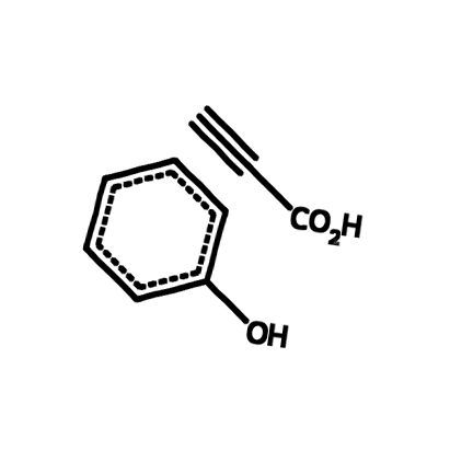 C#CC(=O)O.Oc1ccccc1